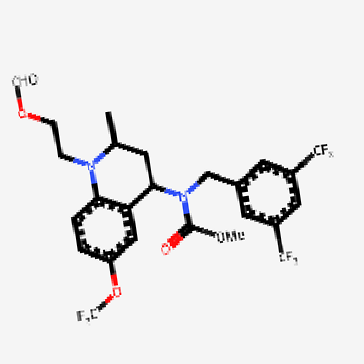 COC(=O)N(Cc1cc(C(F)(F)F)cc(C(F)(F)F)c1)C1CC(C)N(CCOC=O)c2ccc(OC(F)(F)F)cc21